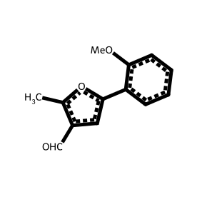 COc1ccccc1-c1cc(C=O)c(C)o1